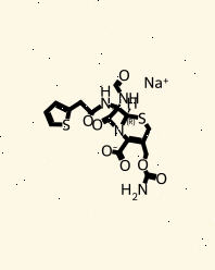 NC(=O)OCC1=C(C(=O)[O-])N2C(=O)[C@@](NC=O)(NC(=O)Cc3cccs3)[C@H]2SC1.[Na+]